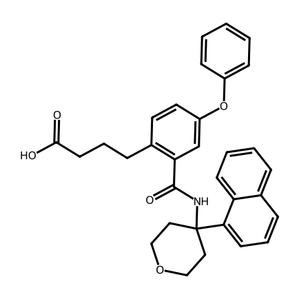 O=C(O)CCCc1ccc(Oc2ccccc2)cc1C(=O)NC1(c2cccc3ccccc23)CCOCC1